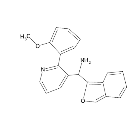 COc1ccccc1-c1ncccc1C(N)c1occ2ccccc12